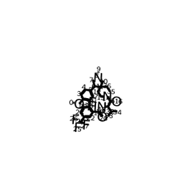 COc1ccc(C2CN(C)CC23CCN(C(=O)C(NC(=O)c2cc(C(F)(F)F)ccc2F)C(C)C)CC3)cc1